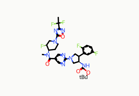 CN(C(=O)c1cnc(N2CC(c3cc(F)ccc3F)[C@@H](NC(=O)OC(C)(C)C)C2)nc1)[C@@H]1CCN(c2nc(C(C)(F)F)no2)C[C@@H]1F